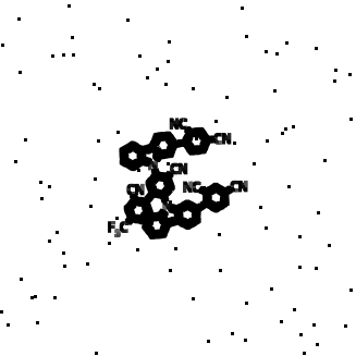 N#Cc1ccc(-c2ccc3c4ccccc4n(-c4cc(-c5ccc(C(F)(F)F)cc5C#N)c(-n5c6ccccc6c6ccc(-c7ccc(C#N)cc7C#N)cc65)cc4C#N)c3c2)c(C#N)c1